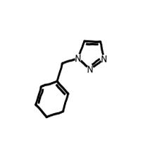 C1=CC(Cn2ccnn2)=CCC1